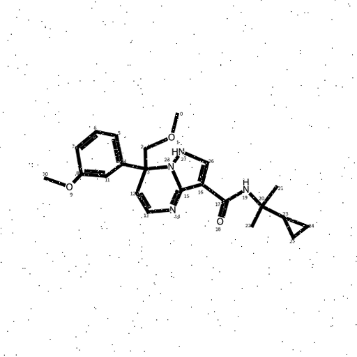 COCC1(c2cccc(OC)c2)C=CN=C2C(C(=O)NC(C)(C)C3CC3)=CNN21